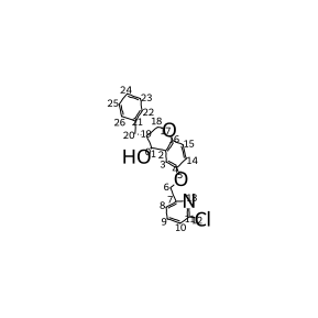 O[C@@H]1c2cc(OCc3cccc(Cl)n3)ccc2OC[C@H]1Cc1ccccc1